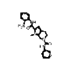 Cn1c(C(=O)Nc2ccccc2N)cc2c1CN(C(=O)Nc1cccnc1)CC2